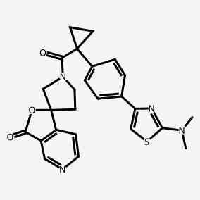 CN(C)c1nc(-c2ccc(C3(C(=O)N4CCC5(C4)OC(=O)c4cnccc45)CC3)cc2)cs1